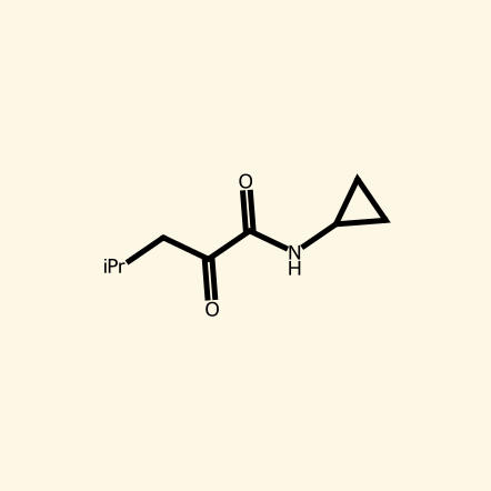 CC(C)CC(=O)C(=O)NC1CC1